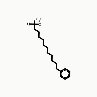 O=C(O)C(Cl)(Cl)CCCCCCCCCCCc1ccccc1